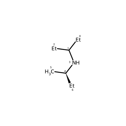 CCC(CC)N[C@H](C)CC